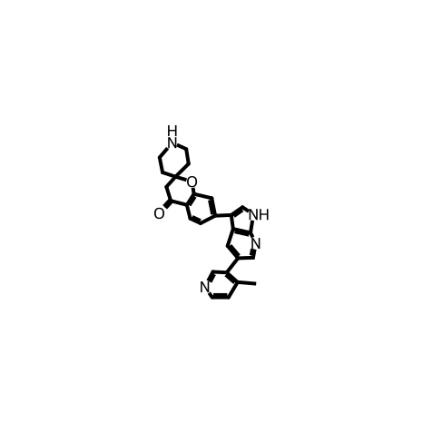 Cc1ccncc1-c1cnc2[nH]cc(-c3ccc4c(c3)OC3(CCNCC3)CC4=O)c2c1